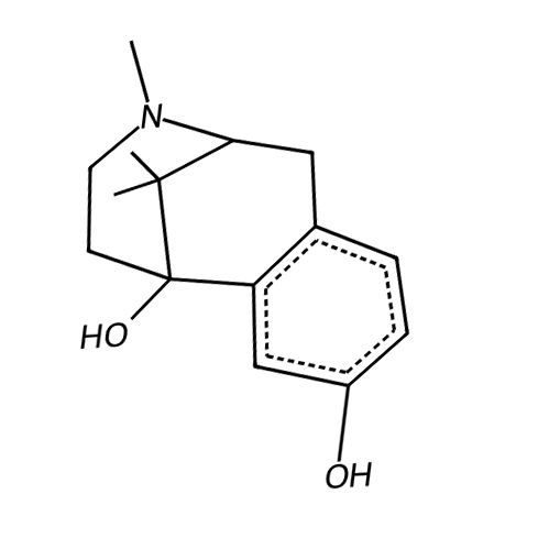 CN1CCC2(O)c3cc(O)ccc3CC1C2(C)C